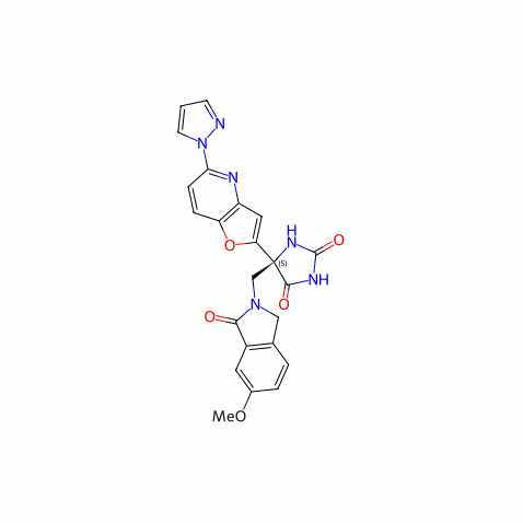 COc1ccc2c(c1)C(=O)N(C[C@@]1(c3cc4nc(-n5cccn5)ccc4o3)NC(=O)NC1=O)C2